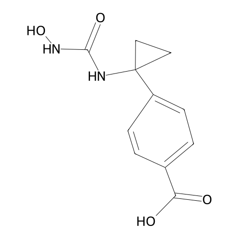 O=C(NO)NC1(c2ccc(C(=O)O)cc2)CC1